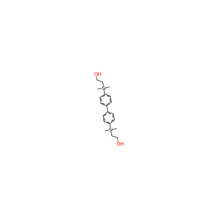 C[Si](C)(CCO)c1ccc(-c2ccc([Si](C)(C)CCO)cc2)cc1